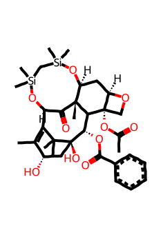 CC(=O)O[C@@]12CO[C@@H]1C[C@@H]1O[Si](C)(C)C[Si](C)(C)O[C@H]3C(=O)[C@@]1(C)C2[C@H](OC(=O)c1ccccc1)[C@]1(O)C[C@H](O)C(C)=C3C1(C)C